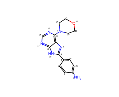 Nc1ccc(-c2nc3c(N4CCOCC4)ncnc3[nH]2)cc1